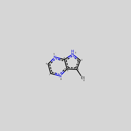 CCc1c[nH]c2nccnc12